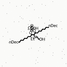 CCCCCCCCCCCCCCCCCC(=O)C(C(=O)CCCCCCCCCCCCCCCCC)N(CC)CCO.COS(=O)(=O)O